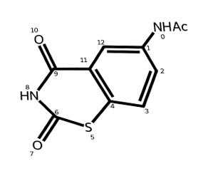 CC(=O)Nc1ccc2sc(=O)[nH]c(=O)c2c1